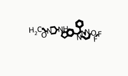 C=CC(=O)N1CCC(N[C@H]2CCc3cc(-c4nc5ccc(OC(F)F)nn5c4-c4ccccc4)ccc32)CC1